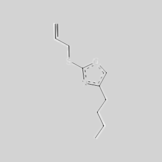 C=CCSc1nc(CCCC)co1